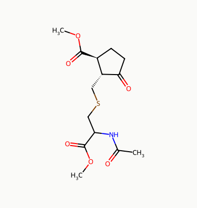 COC(=O)C(CSC[C@H]1C(=O)CC[C@@H]1C(=O)OC)NC(C)=O